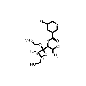 CCC1CNCC(C(=O)NC(C(C)Cl)C2(OCSC)O[C@@H](CO)[C@H]2O)C1